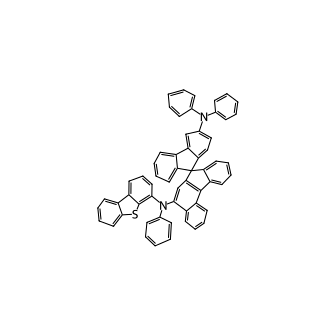 c1ccc(N(c2ccccc2)c2ccc3c(c2)-c2ccccc2C32c3ccccc3-c3c2cc(N(c2ccccc2)c2cccc4c2sc2ccccc24)c2ccccc32)cc1